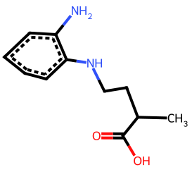 CC(CCNc1ccccc1N)C(=O)O